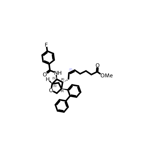 COC(=O)CCC/C=C\C[C@H]1[C@H](NC(=O)c2ccc(F)cc2)[C@@H]2C[C@@]1(c1ccccc1-c1ccccc1)CO2